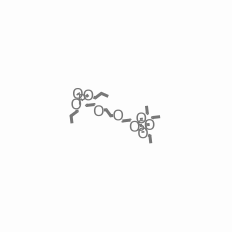 CCCOP(=O)(CCOCCOCCO[Si](OCC)(OCC)OCC)OCCC